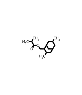 CC1CC2CC(C)C(COC(=O)C(C)C)C(C1)C2